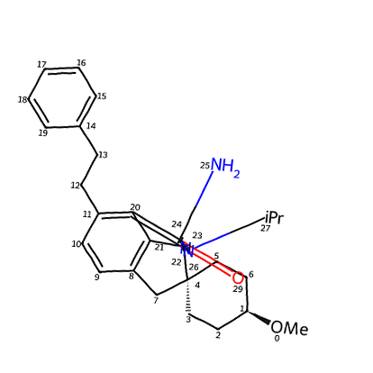 CO[C@H]1CC[C@]2(CC1)Cc1ccc(CCc3ccccc3)cc1C21N=C(N)N(C(C)C)C1=O